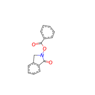 O=C(ON1Cc2ccccc2C1=O)c1ccccc1